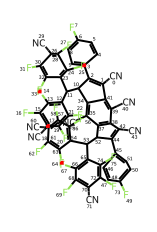 N#CC1=C(c2ccc(F)cc2)C(C(c2c(F)c(F)c(C#N)c(F)c2F)c2c(F)c(F)c(C#N)c(F)c2F)c2c(C#N)c3c(c(C#N)c21)C(C#N)=C(c1ccc(F)cc1)C3C(c1c(F)c(F)c(C#N)c(F)c1F)c1c(F)c(F)c(C#N)c(F)c1F